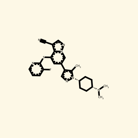 Cc1c(-c2cc(Sc3ncccc3F)c3c(C#N)cnn3c2)cnn1[C@H]1CC[C@@H](N(C)C)CC1